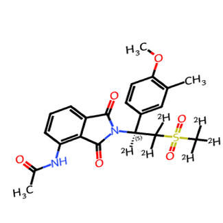 [2H]C([2H])([2H])S(=O)(=O)C([2H])([2H])[C@]([2H])(c1ccc(OC)c(C)c1)N1C(=O)c2cccc(NC(C)=O)c2C1=O